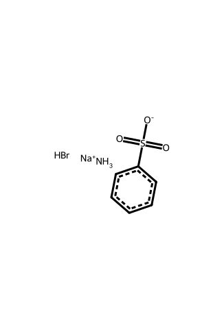 Br.N.O=S(=O)([O-])c1ccccc1.[Na+]